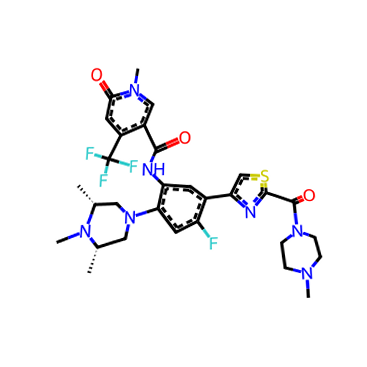 C[C@@H]1CN(c2cc(F)c(-c3csc(C(=O)N4CCN(C)CC4)n3)cc2NC(=O)c2cn(C)c(=O)cc2C(F)(F)F)C[C@H](C)N1C